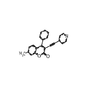 Cc1ccc2c(-c3ccccc3)c(C#Cc3ccncc3)c(=O)oc2c1